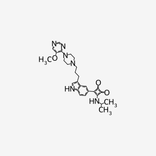 COc1cncnc1N1CCN(CCCc2c[nH]c3ccc(-c4c(NC(C)C)c(=O)c4=O)cc23)CC1